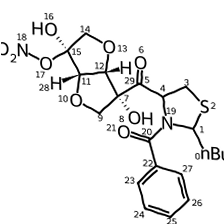 CCCCC1SCC(C(=O)[C@@]2(O)CO[C@H]3[C@@H]2OC[C@]3(O)O[N+](=O)[O-])N1C(=O)c1ccccc1